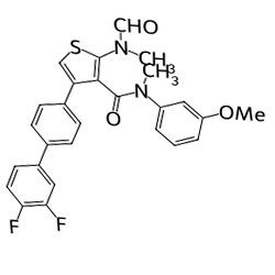 COc1cccc(N(C)C(=O)c2c(-c3ccc(-c4ccc(F)c(F)c4)cc3)csc2N(C)C=O)c1